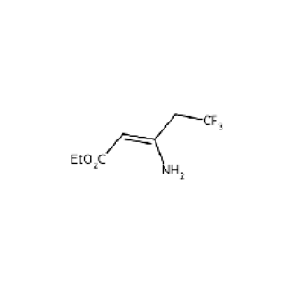 CCOC(=O)C=C(N)CC(F)(F)F